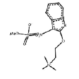 COS(=O)(=O)[O-].C[N+](C)(C)CCOc1nn2ccccc2c1[N+](=O)[O-]